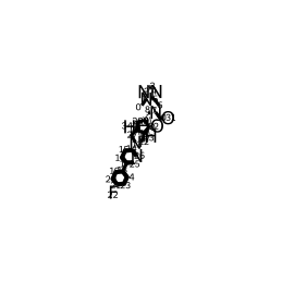 Cn1ncnc1CN(C[C@@H]1C[C@@H]2CN(c3ccc(-c4ccc(F)cc4)cn3)C[C@@H]2C1)C(=O)O